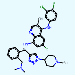 CN(C)Cc1ccccc1[C@H](Nc1cc(Cl)cc2c(Nc3ccc(F)c(Cl)c3)c(C#N)cnc12)c1cn(C2CCN(C(C)(C)C)CC2)nn1